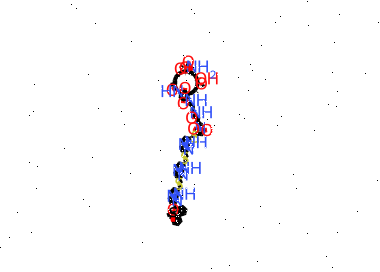 CO[C@H]1C=CC=C(C)C(=O)NC2=CC(=O)C(NCCCNC(=O)CCCN3C(=O)CC(SC[C@H]4CCN5CC[C@H](CSC[C@H]6CCN7CC[C@H](CSC[C@H]8CCN9CC[C@H](CO[Si](c%10ccccc%10)(c%10ccccc%10)C(C)(C)C)N=C9N8)N=C7N6)N=C5N4)C3=O)=C(C[C@@H](C)C[C@H](OC)[C@H](O)[C@@H](C)C=C(C)[C@@H]1OC(N)=O)C2=O